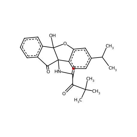 CC(C)c1ccc2c(c1)OC1(O)c3ccccc3C(=O)C21NC(=O)C(=O)C(C)(C)C